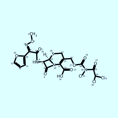 CO/N=C(\C(=O)N[C@@H]1C(=O)N2C(C(=O)O)=C(COC(=O)N(Cl)C(=O)C(Cl)Cl)CS[C@H]12)c1ccco1